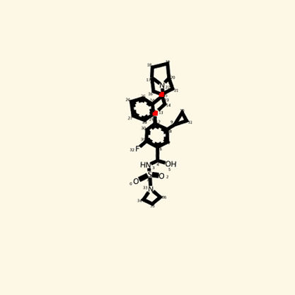 O=S(=O)(NC(O)c1cc(C2CC2)c(OCC2CC3CCC(C2)N3Cc2ccccc2)cc1F)N1CCC1